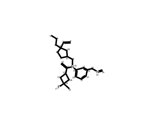 C=CC1(CCC)CCC(CN(C(=C)C2CC(C)(F)C2)c2cccc(CN=C)c2)C1